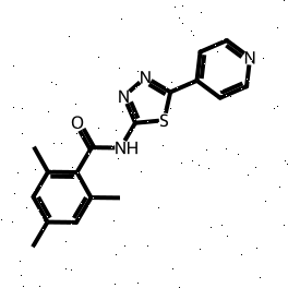 Cc1cc(C)c(C(=O)Nc2nnc(-c3ccncc3)s2)c(C)c1